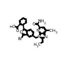 CCc1nc2c(C)cc(C(N)=O)nc2n1Cc1ccc2c(-c3ccccc3C(=O)O)oc(Br)c2c1